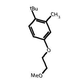 COCCOc1ccc(C(C)(C)C)c(C)c1